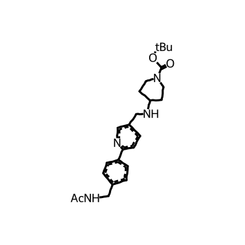 CC(=O)NCc1ccc(-c2ccc(CNC3CCN(C(=O)OC(C)(C)C)CC3)cn2)cc1